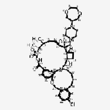 CO[C@]1(CN2CCN(C3COCCOC3)CC2)/C=C/C[C@H](C)[C@@H](C)S(=O)(=O)NC(=O)c2ccc3c(c2)N(CCCCc2cc(Cl)ccc2CO3)C[C@@H]2CC[C@H]21